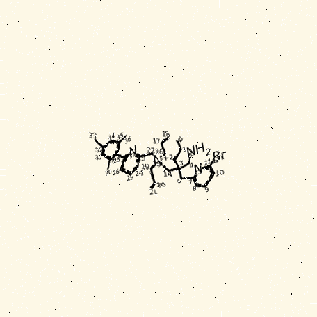 CCCC(CN)(Cc1cccc(Br)n1)C[N+](CCC)(CCC)Cc1cccc(-c2c(C)cc(C)cc2C)n1